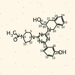 CC(=O)N1CCN(c2nc(-c3cccc(O)c3)nc(N3Cc4ccccc4C[C@@H]3CO)n2)CC1